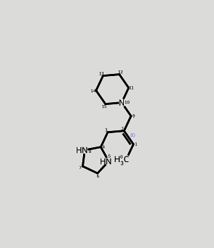 C/C=C(\CC1NCCN1)CN1CCCCC1